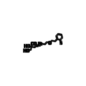 CCOC(=O)C(O)(CO)CCCCCCOCCC1=CC=CCC1=S